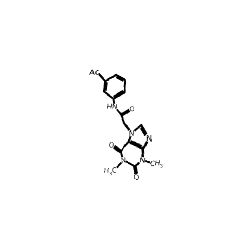 CC(=O)c1cccc(NC(=O)Cn2cnc3c2c(=O)n(C)c(=O)n3C)c1